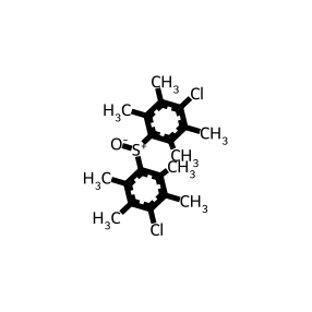 Cc1c(C)c([S+]([O-])c2c(C)c(C)c(Cl)c(C)c2C)c(C)c(C)c1Cl